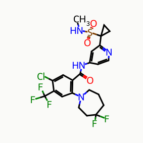 CNS(=O)(=O)C1(c2cc(NC(=O)c3cc(Cl)c(C(F)(F)F)cc3N3CCCC(F)(F)CC3)ccn2)CC1